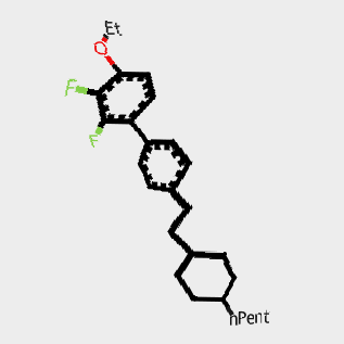 CCCCCC1CCC(CCc2ccc(-c3ccc(OCC)c(F)c3F)cc2)CC1